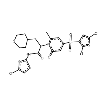 Cc1cc(S(=O)(=O)c2cc(Cl)sc2Cl)cc(=O)n1C(CC1CCOCC1)C(=O)Nc1ncc(Cl)s1